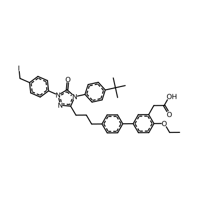 CCOc1ccc(-c2ccc(CCCc3nn(-c4ccc(CI)cc4)c(=O)n3-c3ccc(C(C)(C)C)cc3)cc2)cc1CC(=O)O